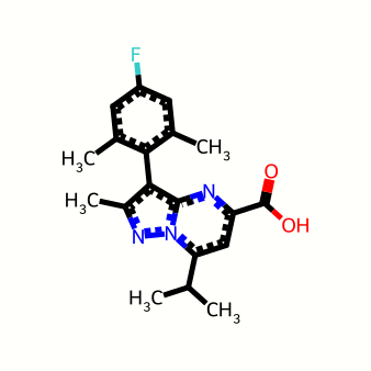 Cc1cc(F)cc(C)c1-c1c(C)nn2c(C(C)C)cc(C(=O)O)nc12